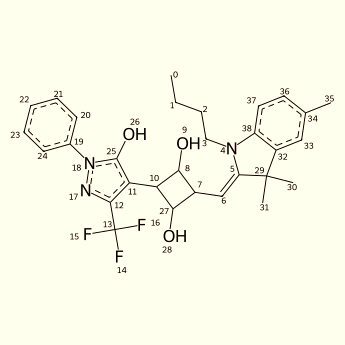 CCCCN1C(=CC2C(O)C(c3c(C(F)(F)F)nn(-c4ccccc4)c3O)C2O)C(C)(C)c2cc(C)ccc21